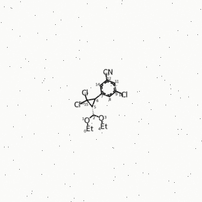 CCOC(OCC)[C@H]1C(c2cc(Cl)cc(C#N)c2)C1(Cl)Cl